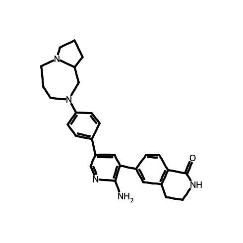 Nc1ncc(-c2ccc(N3CCCN4CCCC4C3)cc2)cc1-c1ccc2c(c1)CCNC2=O